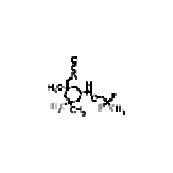 CC(F)(F)CONC1CC(C)(C)CC(C)(CN=C=O)C1